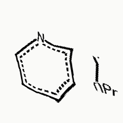 [CH2]CCC.c1ccncc1